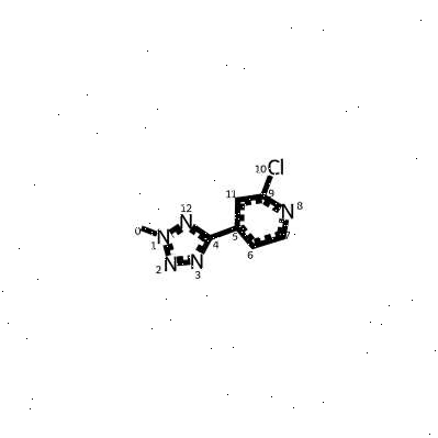 Cn1nnc(-c2ccnc(Cl)c2)n1